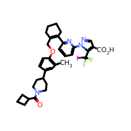 Cc1cc(C2CCN(C(=O)C3CCC3)CC2)ccc1OCC1=C(c2cccc(-n3ncc(C(=O)O)c3C(F)(F)I)n2)CCCC1